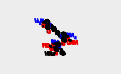 COc1cc(OC(=O)CO)c2c3c(C(N)=O)cccc3n(Cc3ccccc3)c2c1.COc1cc(OC(=O)CO)c2c3c(n(Cc4ccccc4)c2c1)CCCC3C(N)=O.COc1cc(OC)c2c3c(n(Cc4ccccc4)c2c1)CCCC3C(N)=O.[NaH]